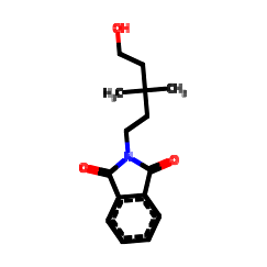 CC(C)(CCO)CCN1C(=O)c2ccccc2C1=O